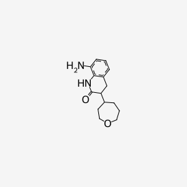 Nc1cccc2c1NC(=O)C(C1CCCOCC1)C2